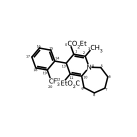 CCOC(=O)C1=C(C)N2CCCCCC2=C(C(=O)OCC)C1c1ccccc1C(F)(F)F